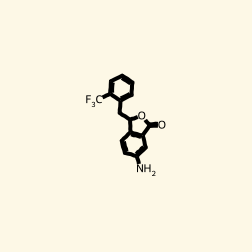 Nc1ccc2c(c1)C(=O)OC2Cc1ccccc1C(F)(F)F